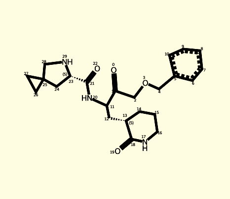 O=C(COCc1ccccc1)C(C[C@@H]1CCCNC1=O)NC(=O)[C@@H]1CC2(CC2)CN1